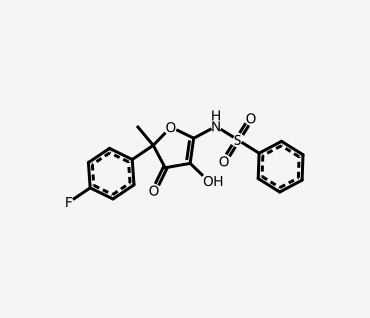 CC1(c2ccc(F)cc2)OC(NS(=O)(=O)c2ccccc2)=C(O)C1=O